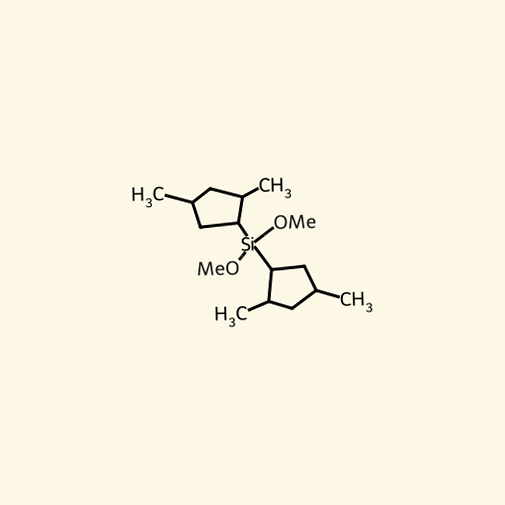 CO[Si](OC)(C1CC(C)CC1C)C1CC(C)CC1C